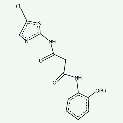 CC(C)COc1ccccc1NC(=O)CC(=O)Nc1ncc(Cl)s1